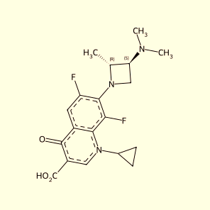 C[C@@H]1[C@@H](N(C)C)CN1c1c(F)cc2c(=O)c(C(=O)O)cn(C3CC3)c2c1F